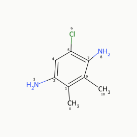 Cc1c(N)cc(Cl)c(N)c1C